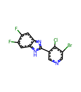 Fc1cc2nc(-c3cncc(Br)c3Cl)[nH]c2cc1F